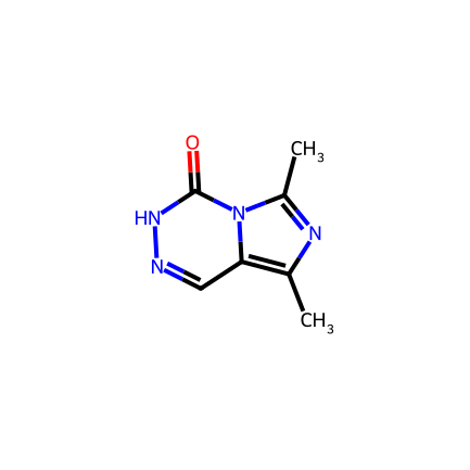 Cc1nc(C)n2c(=O)[nH]ncc12